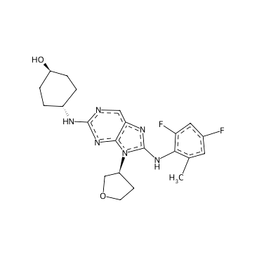 Cc1cc(F)cc(F)c1Nc1nc2cnc(N[C@H]3CC[C@H](O)CC3)nc2n1[C@H]1CCOC1